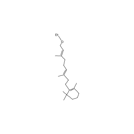 CCOC/C=C(\C)CC/C=C(\C)CCC1=C(C)CCCC1(C)C